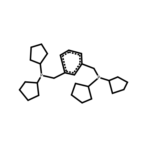 c1cc(CP(C2CCCC2)C2CCCC2)cc(CP(C2CCCC2)C2CCCC2)c1